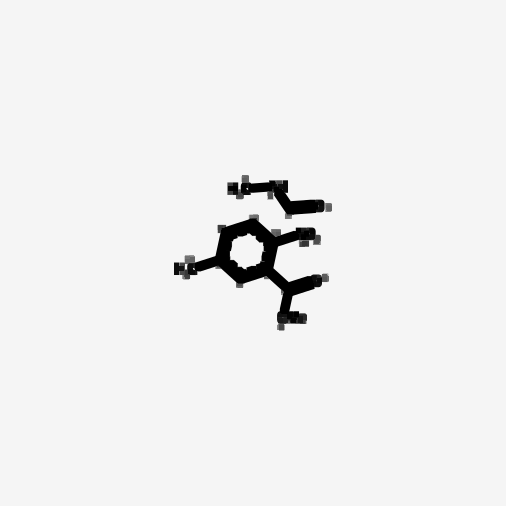 CNC=O.COC(=O)c1cc(C)ccc1[N+](=O)[O-]